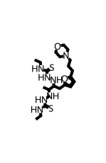 CCNC(=S)NNC(C)C(Cc1ccc(CCCN2CCOCC2)o1)NNC(=S)NCC